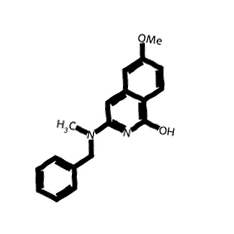 COc1ccc2c(O)nc(N(C)Cc3ccccc3)cc2c1